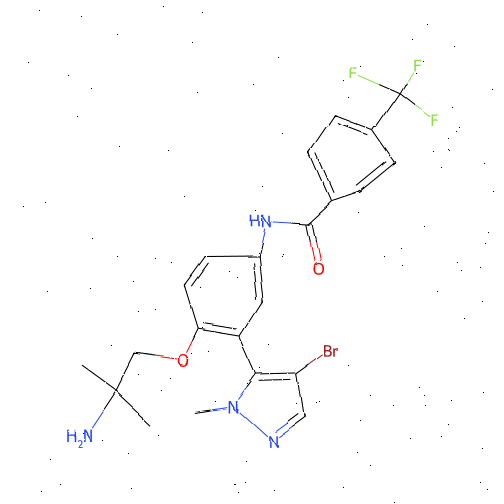 Cn1ncc(Br)c1-c1cc(NC(=O)c2ccc(C(F)(F)F)cc2)ccc1OCC(C)(C)N